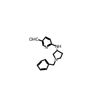 O=Cc1ccc(N[C@@H]2CCN(Cc3ccccc3)C2)nc1